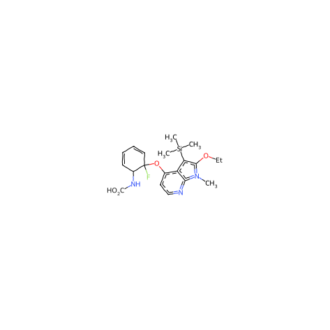 CCOc1c([Si](C)(C)C)c2c(OC3(F)C=CC=CC3NC(=O)O)ccnc2n1C